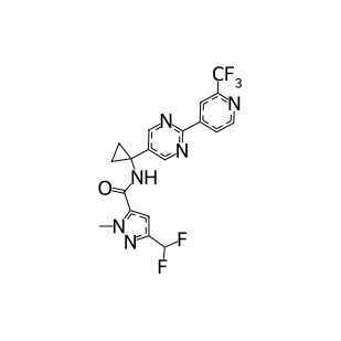 Cn1nc(C(F)F)cc1C(=O)NC1(c2cnc(-c3ccnc(C(F)(F)F)c3)nc2)CC1